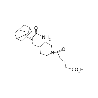 NC(=O)N(CC1CCN(C(=O)CCCC(=O)O)CC1)C12CC3CC(CC(C3)C1)C2